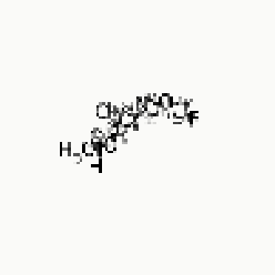 CNC(=O)Oc1cc2cc(-c3ccc(Oc4ccc(F)cc4)cn3)cc(Cl)c2o1